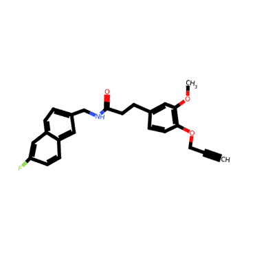 C#CCOc1ccc(CCC(=O)NCc2ccc3cc(F)ccc3c2)cc1OC